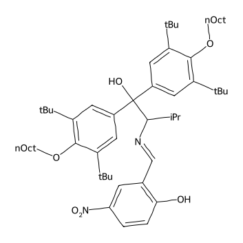 CCCCCCCCOc1c(C(C)(C)C)cc(C(O)(c2cc(C(C)(C)C)c(OCCCCCCCC)c(C(C)(C)C)c2)C(N=Cc2cc([N+](=O)[O-])ccc2O)C(C)C)cc1C(C)(C)C